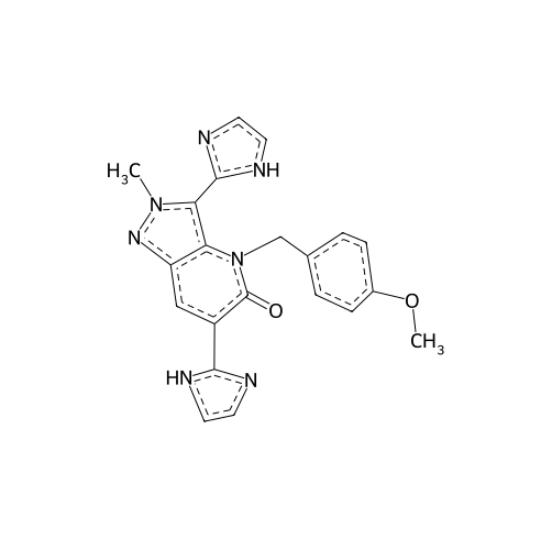 COc1ccc(Cn2c(=O)c(-c3ncc[nH]3)cc3nn(C)c(-c4ncc[nH]4)c32)cc1